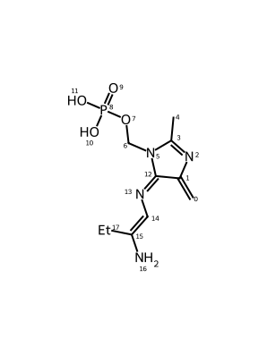 C=C1N=C(C)N(COP(=O)(O)O)/C1=N/C=C(/N)CC